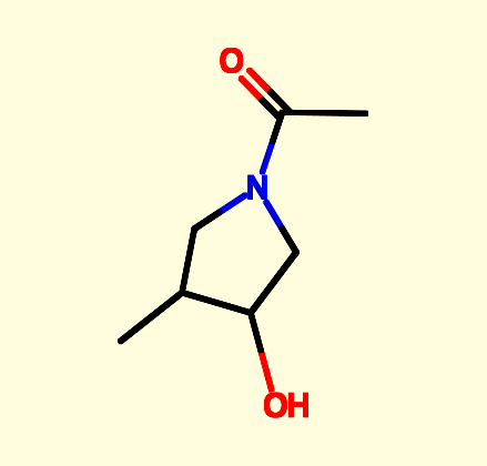 CC(=O)N1CC(C)C(O)C1